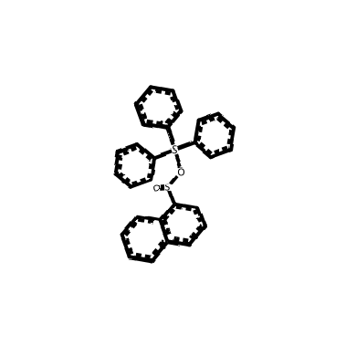 O=S(OS(c1ccccc1)(c1ccccc1)c1ccccc1)c1cccc2ccccc12